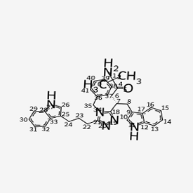 CC(C)(N)C(=O)C[C@H](Cc1c[nH]c2ccccc12)c1nnc(CCCc2c[nH]c3ccccc23)n1Cc1ccccc1